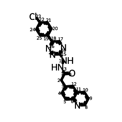 O=C(Cc1ccc2ncccc2c1)NNc1ncc(-c2ccc(Cl)cc2)nn1